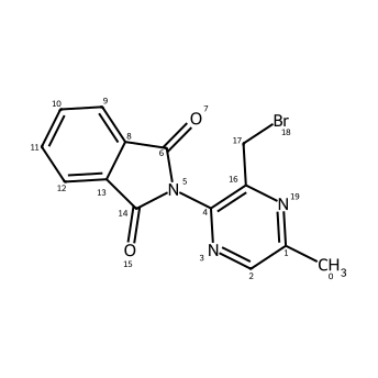 Cc1cnc(N2C(=O)c3ccccc3C2=O)c(CBr)n1